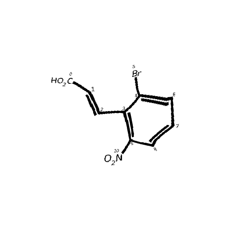 O=C(O)C=Cc1c(Br)cccc1[N+](=O)[O-]